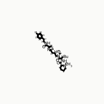 CCC(C)C(NC(=O)[C@H]1CCCCN1C)C(=O)N(CO)CCCc1nc(C(=O)NCCc2ccc(I)cc2)cs1